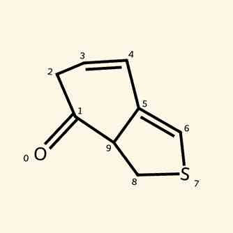 O=C1CC=CC2=CSCC12